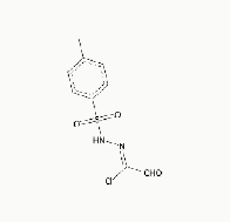 Cc1ccc(S(=O)(=O)NN=C(Cl)C=O)cc1